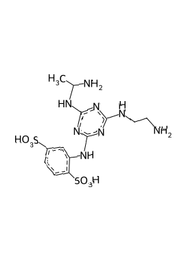 CC(N)Nc1nc(NCCN)nc(Nc2cc(S(=O)(=O)O)ccc2S(=O)(=O)O)n1